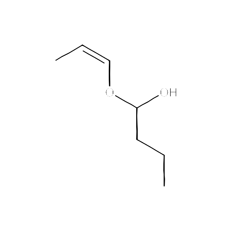 C/C=C\OC(O)CCC